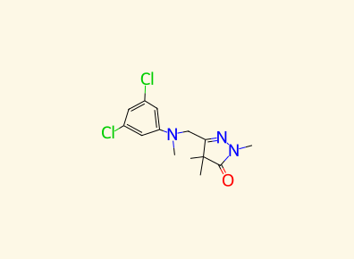 CN1N=C(CN(C)c2cc(Cl)cc(Cl)c2)C(C)(C)C1=O